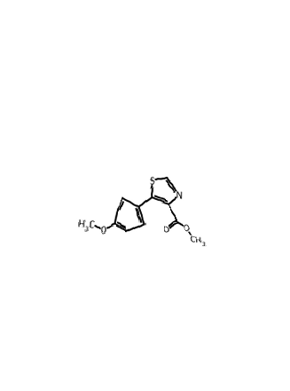 COC(=O)c1ncsc1-c1ccc(OC)cc1